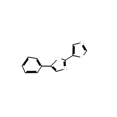 [c]1nc(-c2cncs2)oc1-c1ccccc1